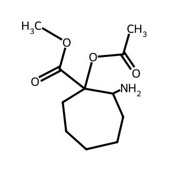 COC(=O)C1(OC(C)=O)CCCCCC1N